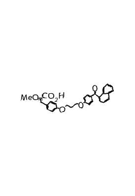 CO[C@@H](Cc1ccc(OCCCOc2ccc(C(=O)c3cccc4ccccc34)cc2)cc1)C(=O)O